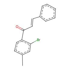 Cc1ccc(C(=O)C=Cc2ccccc2)c(Br)c1